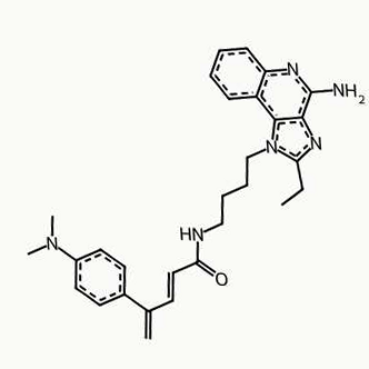 C=C(/C=C/C(=O)NCCCCn1c(CC)nc2c(N)nc3ccccc3c21)c1ccc(N(C)C)cc1